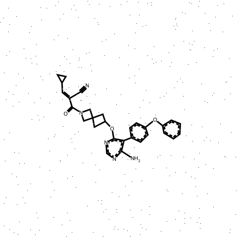 N#CC(=CC1CC1)C(=O)N1CC2(CC(Oc3ncnc(N)c3-c3ccc(Oc4ccccc4)cc3)C2)C1